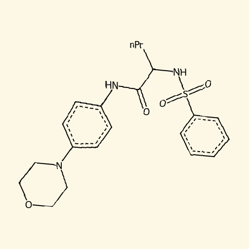 CCCC(NS(=O)(=O)c1ccccc1)C(=O)Nc1ccc(N2CCOCC2)cc1